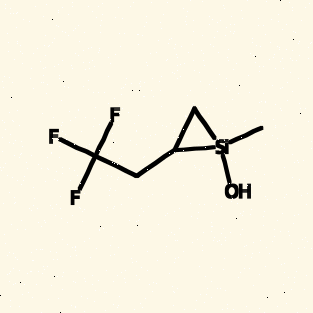 C[Si]1(O)CC1CC(F)(F)F